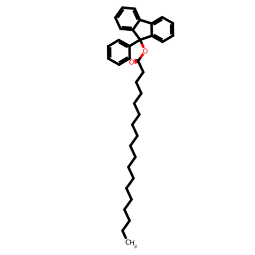 CCCCCCCCCCCCCCCCCC(=O)OC1(c2ccccc2)c2ccccc2-c2ccccc21